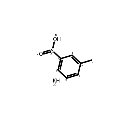 Cc1cccc(S(=O)O)c1.[KH]